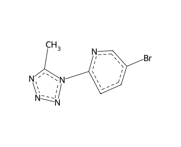 Cc1nnnn1-c1ccc(Br)cn1